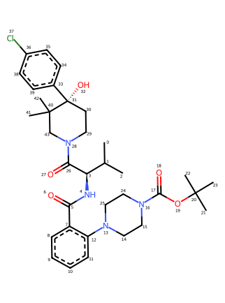 CC(C)[C@@H](NC(=O)c1ccccc1N1CCN(C(=O)OC(C)(C)C)CC1)C(=O)N1CC[C@](O)(c2ccc(Cl)cc2)C(C)(C)C1